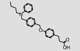 CCCCN(Cc1ccc(COc2ccc(CCC(=O)O)cc2)cc1)c1ccccc1